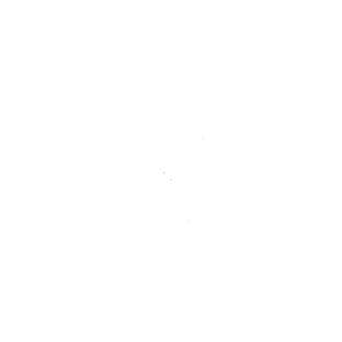 CC(O)C([O])N1CCOCC1